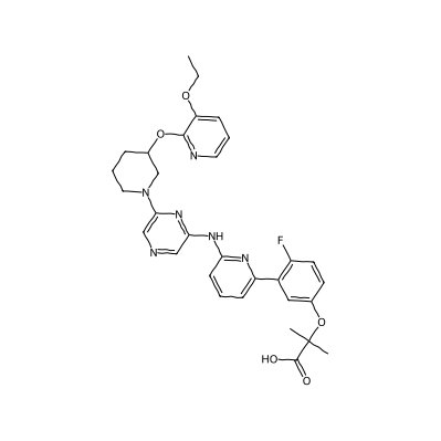 CCOc1cccnc1OC1CCCN(c2cncc(Nc3cccc(-c4cc(OC(C)(C)C(=O)O)ccc4F)n3)n2)C1